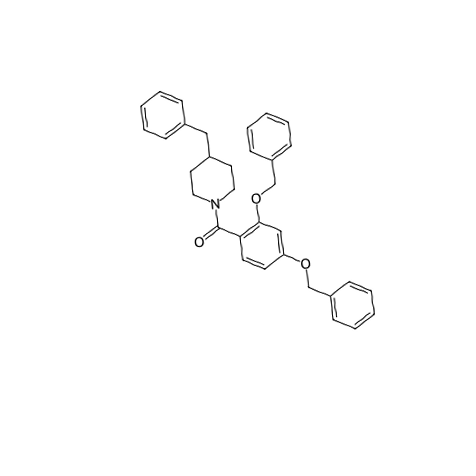 O=C(c1ccc(OCc2ccccc2)cc1OCc1ccccc1)N1CCC(Cc2ccccc2)CC1